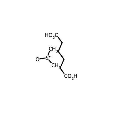 C[S+](C)[O-].O=C(O)CCCCC(=O)O